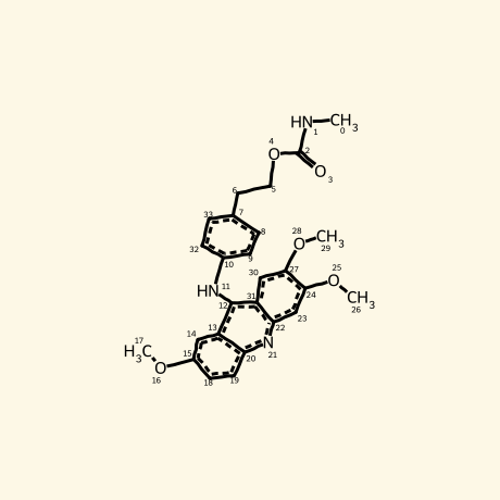 CNC(=O)OCCc1ccc(Nc2c3cc(OC)ccc3nc3cc(OC)c(OC)cc23)cc1